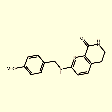 COc1ccc(CNc2ccc3c(n2)C(=O)NCC3)cc1